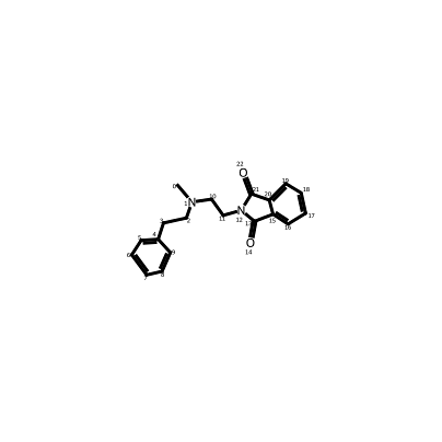 CN(CCc1ccccc1)CCN1C(=O)c2ccccc2C1=O